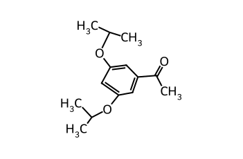 CC(=O)c1cc(OC(C)C)cc(OC(C)C)c1